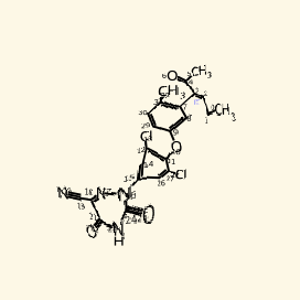 CC/C=C(/C(C)=O)c1cc(Oc2c(Cl)cc(-n3nc(C#N)c(=O)[nH]c3=O)cc2Cl)ccc1C